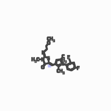 COCCN=C1S/C(=C\c2cc(C)n(-c3ccc(F)cc3F)c2C)C(=O)N1C